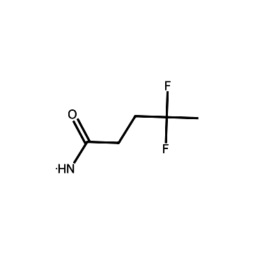 CC(F)(F)CCC([NH])=O